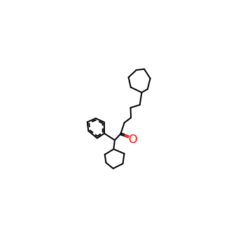 O=C(CCCCC1CCCCCC1)C(c1ccccc1)C1CCCCC1